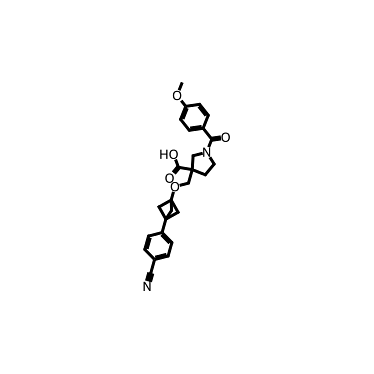 COc1ccc(C(=O)N2CCC(COC34CC(c5ccc(C#N)cc5)(C3)C4)(C(=O)O)C2)cc1